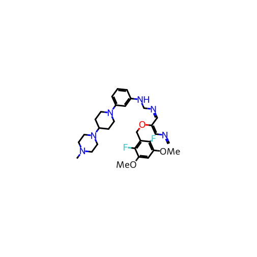 C=N/C=C(\C=N/CNc1cccc(N2CCC(N3CCN(C)CC3)CC2)c1)OCc1c(F)c(OC)cc(OC)c1F